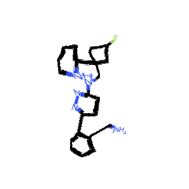 NCc1ccccc1-c1ccc(NCC2(c3ccccn3)CC(F)C2)nn1